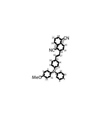 COc1ccc(N(c2ccccc2)c2ccc(C=Cc3ccc4c(C#N)cccc4c3C#N)cc2)cc1